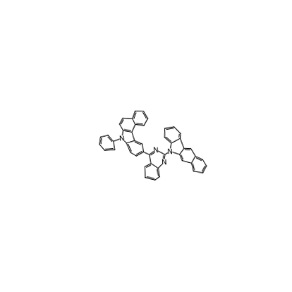 c1ccc(-n2c3ccc(-c4nc(-n5c6ccccc6c6cc7ccccc7cc65)nc5ccccc45)cc3c3c4ccccc4ccc32)cc1